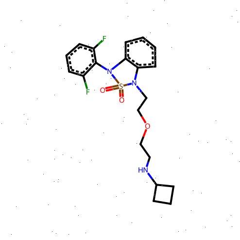 O=S1(=O)N(CCOCCNC2CCC2)c2ccccc2N1c1c(F)cccc1F